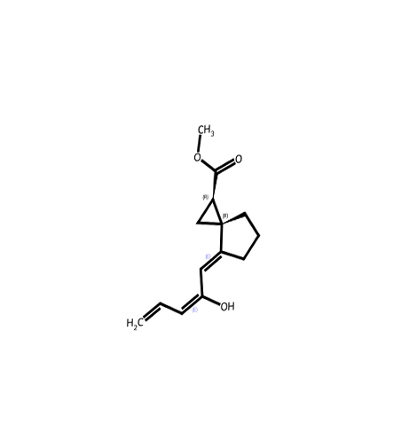 C=C/C=C(O)\C=C1/CCC[C@]12C[C@H]2C(=O)OC